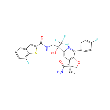 C[C@]1(C(N)=O)COc2c1cc(C(O)(CNC(=O)c1cc3cccc(F)c3s1)C(F)(F)F)nc2-c1ccc(F)cc1